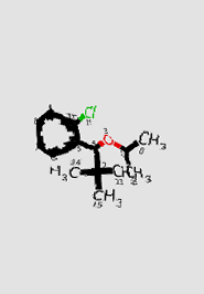 CC(C)OC(c1ccccc1Cl)C(C)(C)C